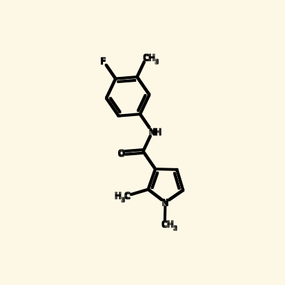 Cc1cc(NC(=O)c2ccn(C)c2C)ccc1F